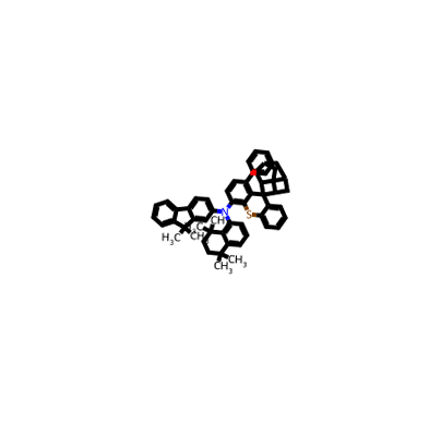 CC1(C)CCC(C)(C)c2c(N(c3ccc4c(c3)C(C)(C)c3ccccc3-4)c3ccc(-c4ccccc4)c4c3Sc3ccccc3C43C4CC5CC6CC3C64C5)cccc21